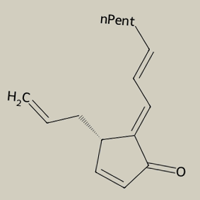 C=CC[C@H]1C=CC(=O)/C1=C/C=C/CCCCC